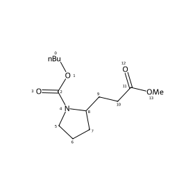 CCCCOC(=O)N1CCCC1CCC(=O)OC